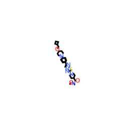 CON(C)C(=O)C1CCN(c2nn3cc(-c4ccc(N5CCC(OCC6CCC6)CC5)cc4)nc3s2)CC1